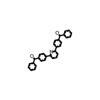 O=C(c1ccccc1)c1ccc(-c2cccc(-c3ccc(C(=O)c4ccccc4)cc3)n2)cc1